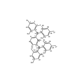 Cc1cc(C)c(B(c2cccc(B(c3c(C)cc(C)cc3C)c3c(C)cc(C)cc3C)n2)c2c(C)cc(C)cc2C)c(C)c1